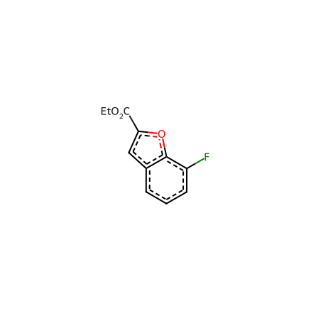 CCOC(=O)c1cc2cccc(F)c2o1